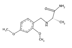 COc1ccc(CN[C@@H](C)C(N)=O)c(OC)c1